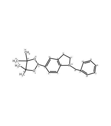 CC1(C)OB(c2ccc3c(c2)CCN3Cc2ccccc2)OC1(C)C